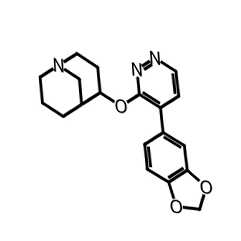 c1cc(-c2ccc3c(c2)OCO3)c(OC2CCN3CCCC2C3)nn1